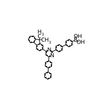 CC1(C)c2ccccc2-c2ccc(-c3cc(-c4ccc(-c5ccccc5)cc4)nc(-c4ccc(-c5ccc(B(O)O)cc5)cc4)n3)cc21